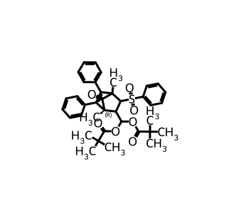 CC(C)(C)C(=O)OC(OC(=O)C(C)(C)C)C1C(S(=O)(=O)c2ccccc2)C2(C)C(=O)[C@@]1(C)C(c1ccccc1)=C2c1ccccc1